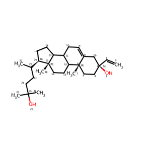 C=C[C@]1(O)CC[C@@]2(C)C(=CCC3C2CC[C@@]2(C)C3CC[C@@H]2C(C)CCC(C)(C)O)C1